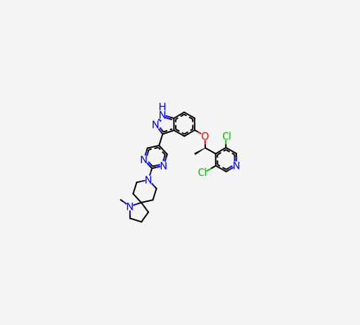 C[C@@H](Oc1ccc2[nH]nc(-c3cnc(N4CCC5(CCCN5C)CC4)nc3)c2c1)c1c(Cl)cncc1Cl